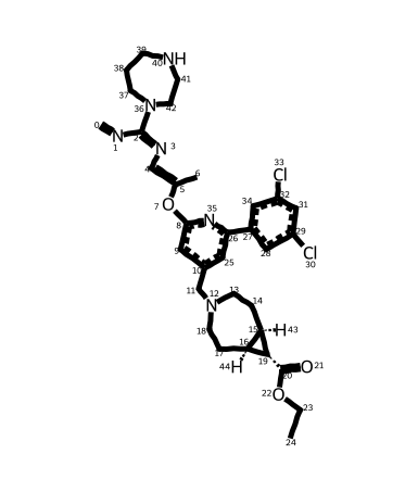 C=N/C(=N\C=C(/C)Oc1cc(CN2CC[C@@H]3[C@H](CC2)[C@H]3C(=O)OCC)cc(-c2cc(Cl)cc(Cl)c2)n1)N1CCCNCC1